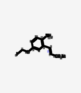 CCOC(=O)/C=C/c1cc(OCF)ccc1N